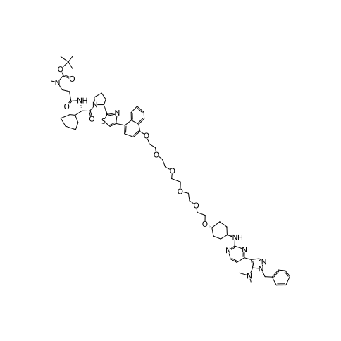 CN(CCC(=O)N[C@H](C(=O)N1CCC[C@H]1c1nc(-c2ccc(OCCOCCOCCOCCOCCO[C@H]3CC[C@H](Nc4nccc(-c5cnn(Cc6ccccc6)c5N(C)C)n4)CC3)c3ccccc23)cs1)C1CCCCC1)C(=O)OC(C)(C)C